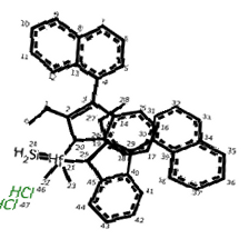 CCC1=C(c2cccc3ccccc23)c2ccccc2[CH]1[Hf]([CH3])([CH3])(=[SiH2])[CH]1C(CC)=C(c2cccc3ccccc23)c2ccccc21.Cl.Cl